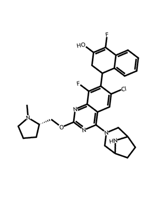 CN1CCC[C@H]1COc1nc(N2CC3CCC(C2)N3)c2cc(Cl)c(C3CC(O)=C(F)c4ccccc43)c(F)c2n1